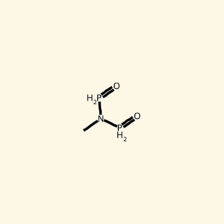 CN([PH2]=O)[PH2]=O